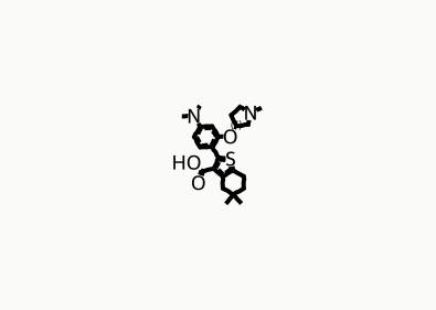 CN1CC[C@H](Oc2cc(N(C)C)ccc2-c2sc3c(c2C(=O)O)CC(C)(C)CC3)C1